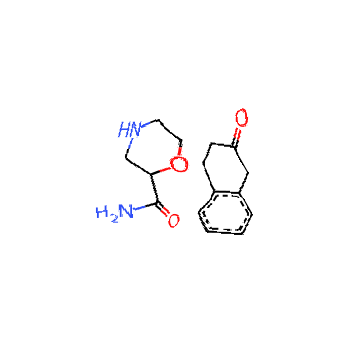 NC(=O)C1CNCCO1.O=C1CCc2ccccc2C1